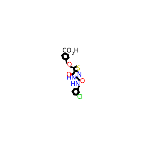 O=C(O)c1ccc(COCc2csc3nc(C(=O)NCc4cccc(Cl)c4)[nH]c(=O)c23)cc1